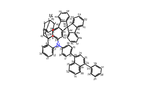 C1=C2C[C@H]3CC1CC(c1ccccc1N(c1ccc(-c4ccc(-c5ccccc5)c5ccccc45)cc1)c1ccc4c(c1)C1(c5ccccc5-c5ccccc51)c1ccccc1-4)(C2)C3